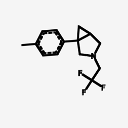 Cc1ccc(C23CC2CN(CC(F)(F)F)C3)cc1